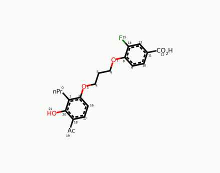 CCCc1c(OCCCOc2ccc(C(=O)O)cc2F)ccc(C(C)=O)c1O